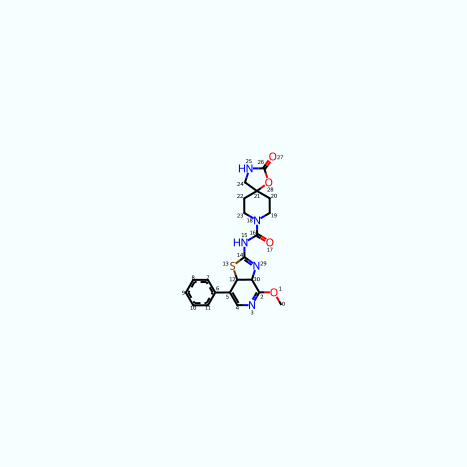 COC1=NC=C(c2ccccc2)C2SC(NC(=O)N3CCC4(CC3)CNC(=O)O4)=NC12